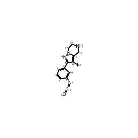 O=C=Nc1cccc(-c2nn3c(c2I)CNCC3)c1